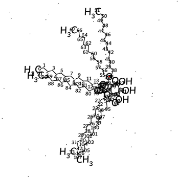 CCCCCCCCCCCCCCC(=O)O[C@@]1(C(=O)CCCCCCCCCCCCCC)[C@@](OC(=O)CCCCCCCCCCCCCC)(C(=O)CCCCCCCCCCCCCC)[C@@H](O)[C@H](O)[C@@H](O)[C@@]1(OC(=O)CCCCCCCCCCCCCC)C(=O)CCCCCCCCCCCCCC